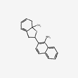 CC12CC=CC=C1CC(c1ccc3ccccc3c1N)S2